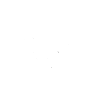 Cc1cccc(-n2nccn2)c1C(=O)N1CCC[C@@H](C)[C@H]1CNc1nc2ccc(Cl)cc2o1